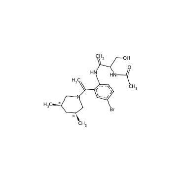 C=C(Nc1ccc(Br)cc1C(=C)N1C[C@H](C)C[C@H](C)C1)C(CO)NC(C)=O